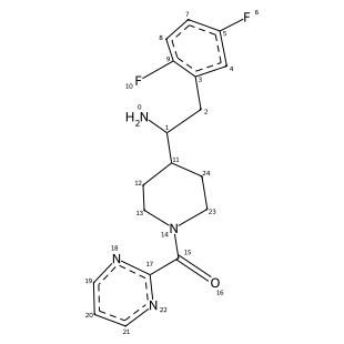 NC(Cc1cc(F)ccc1F)C1CCN(C(=O)c2ncccn2)CC1